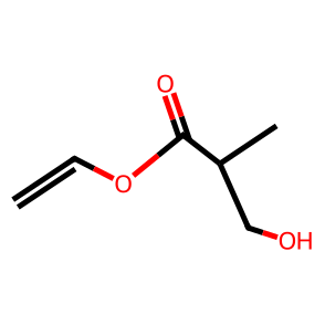 C=COC(=O)C(C)CO